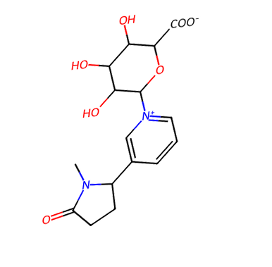 CN1C(=O)CCC1c1ccc[n+](C2OC(C(=O)[O-])C(O)C(O)C2O)c1